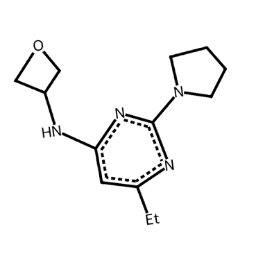 CCc1cc(NC2COC2)nc(N2CCCC2)n1